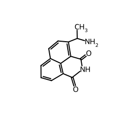 CC(N)c1ccc2cccc3c2c1C(=O)NC3=O